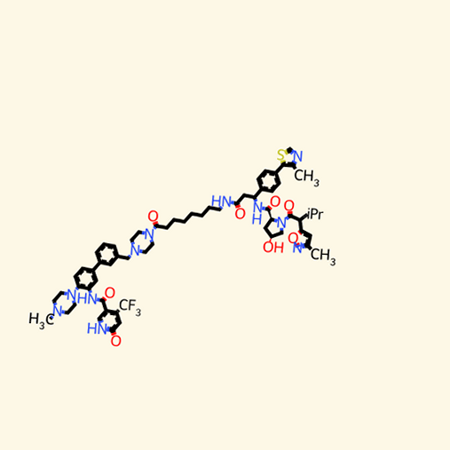 Cc1cc(C(C(=O)N2C[C@H](O)C[C@H]2C(=O)NC(CC(=O)NCCCCCCCC(=O)N2CCN(Cc3cccc(-c4ccc(N5CCN(C)CC5)c(NC(=O)c5c[nH]c(=O)cc5C(F)(F)F)c4)c3)CC2)c2ccc(-c3scnc3C)cc2)C(C)C)on1